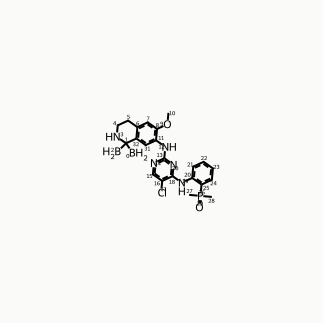 BC1(B)NCCc2cc(OC)c(Nc3ncc(Cl)c(Nc4ccccc4P(C)(C)=O)n3)cc21